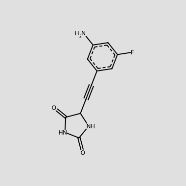 Nc1cc(F)cc(C#CC2NC(=O)NC2=O)c1